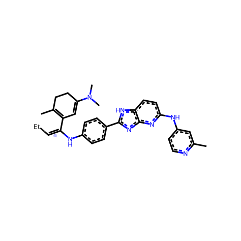 CC/C=C(/Nc1ccc(-c2nc3nc(Nc4ccnc(C)c4)ccc3[nH]2)cc1)C1=C(C)CCC(N(C)C)=C1